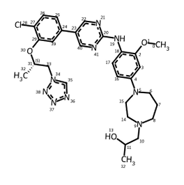 COc1cc(N2CCCN(CC(C)O)CC2)ccc1Nc1ncc(-c2ccc(Cl)c(O[C@@H](C)Cn3cnnn3)c2)cn1